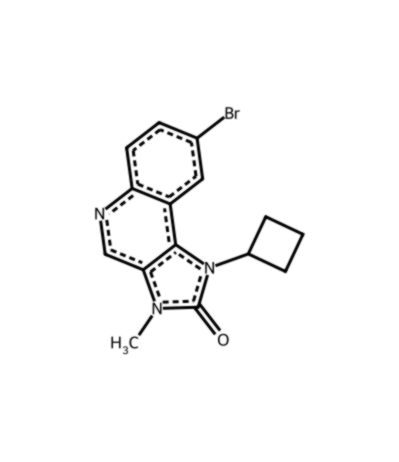 Cn1c(=O)n(C2CCC2)c2c3cc(Br)ccc3ncc21